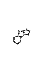 [c]1cn2c(nc3ccccc32)s1